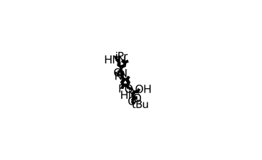 Cc1cc(-c2nc(-c3cc(F)c(OC[C@H](NC(=O)OC(C)(C)C)[C@@H](C)O)cc3C)no2)cc(NC(C)C)n1